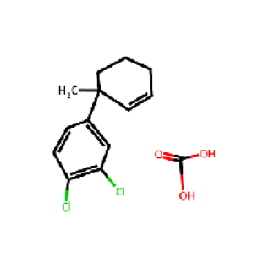 CC1(c2ccc(Cl)c(Cl)c2)C=CCCC1.O=C(O)O